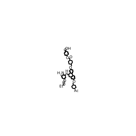 CCOOOc1ccc(N)c(NC2Cc3cc(OCC4CCC(C(C)=O)CC4)ccc3-c3ccc(OCC4CCC(C(=O)Oc5ccc(OO)cc5)CC4)cc32)c1